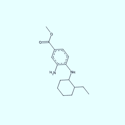 CCC1CCCCC1Nc1ccc(C(=O)OC)cc1N